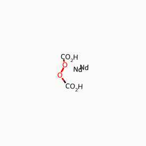 O=C(O)OOC(=O)O.[Nd].[Nd]